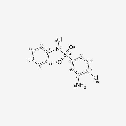 Nc1cc(S(=O)(=O)N(Cl)c2ccccc2)ccc1Cl